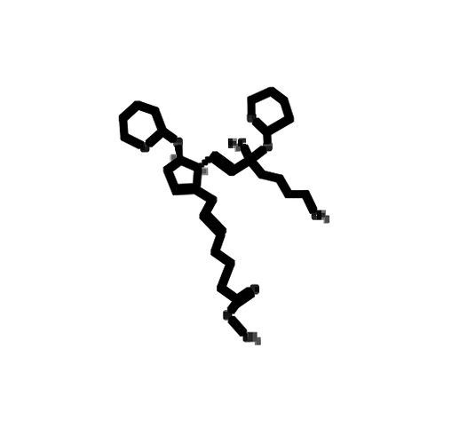 CCCCCC(C)(C=C[C@@H]1C(CC=CCCCC(=O)OC)=CC[C@H]1OC1CCCCO1)OC1CCCCO1